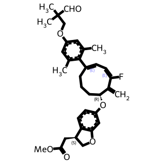 C=C1/C(F)=C\C=C(\c2c(C)cc(OCC(C)(C)C=O)cc2C)CCC[C@H]1Oc1ccc2c(c1)OC[C@H]2CC(=O)OC